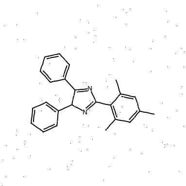 Cc1cc(C)c(C2=NC(c3ccccc3)C(c3ccccc3)=N2)c(C)c1